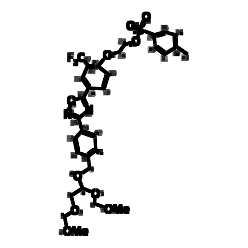 COCOCC(OCOC)OCc1ccc(-c2noc(-c3ccc(OCCOS(=O)(=O)c4ccc(C)cc4)c(C(F)(F)F)c3)n2)cc1